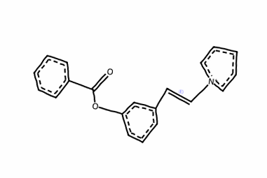 O=C(Oc1cccc(/C=C/[n+]2ccccc2)c1)c1ccccc1